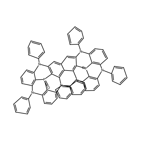 O=P12c3c4cccc3N(c3ccccc3)c3cc5cc6c7c(c5c(c31)N(c1ccccc1)c1cccc(c12)N4c1ccccc1)N(c1ccccc1)c1cccc2c1P7(=O)c1c(cccc1N6c1ccccc1)N2c1ccccc1